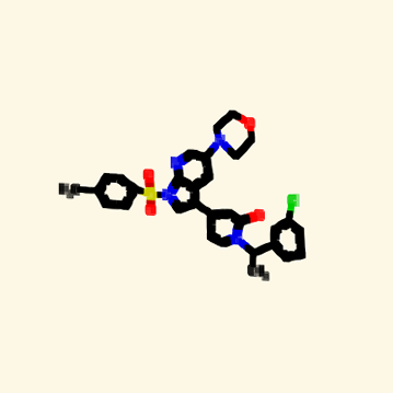 Cc1ccc(S(=O)(=O)n2cc(-c3ccn(C(C)c4cccc(Cl)c4)c(=O)c3)c3cc(N4CCOCC4)cnc32)cc1